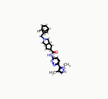 Cc1cnn(C)c1-c1ccc(NC(=O)C2CC3CN(CC4CC5C=C[C@@H]4C5)CC3C2)nn1